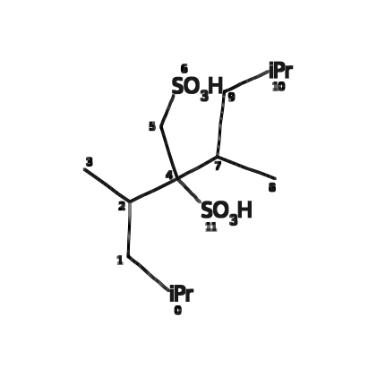 CC(C)CC(C)C(CS(=O)(=O)O)(C(C)CC(C)C)S(=O)(=O)O